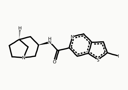 O=C(N[C@@H]1C[C@@H]2CCN(C2)C1)c1cc2sc(I)cc2cn1